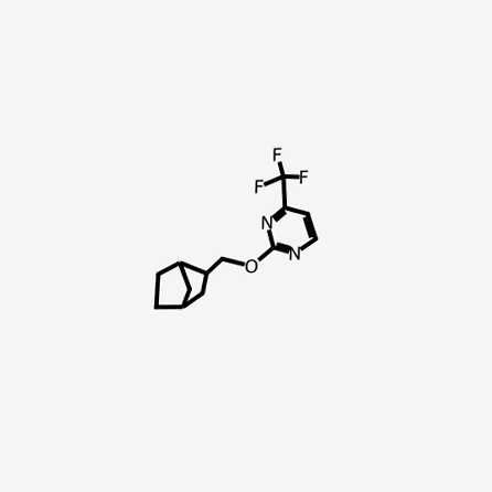 FC(F)(F)c1ccnc(OCC2CC3CCC2C3)n1